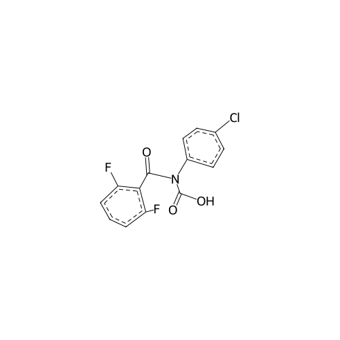 O=C(O)N(C(=O)c1c(F)cccc1F)c1ccc(Cl)cc1